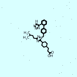 CC(C)CCc1nc(C2CCC(CCC(=O)O)CC2)n(Cc2ccc(-c3ccccc3-c3nnn[nH]3)cc2)n1